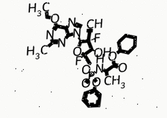 C#C[C@]1(F)[C@H](N2C=NC3C(OCC)=NC(C)=NC32)O[C@](F)(COP(=O)(NC(C)C(=O)OC2CCCCC2)Oc2ccccc2)[C@H]1O